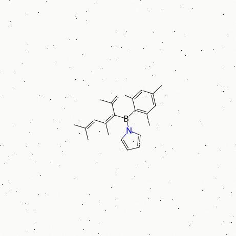 C=C(C)/C(B(c1c(C)cc(C)cc1C)n1cccc1)=C(/C)C=C(C)C